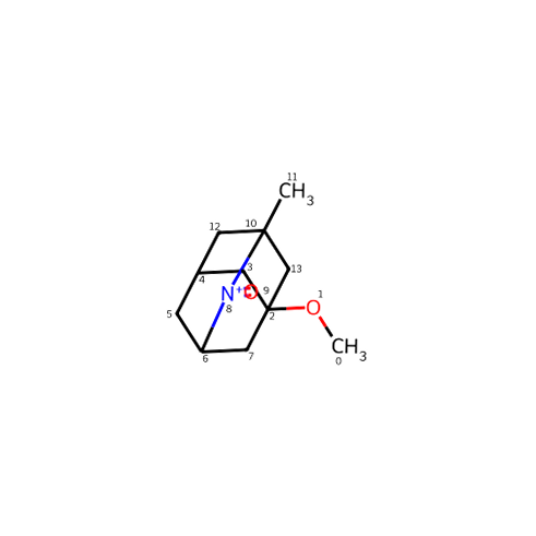 COC12CC3CC(C1)[N+](=O)C(C)(C3)C2